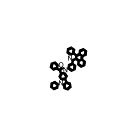 c1ccc(-n2c3ccccc3c3cc4c(cc32)c2c3ccccc3oc2n4-c2cccc(-c3nc4ccccc4c4c5ccccc5c5ccccc5c34)c2)cc1